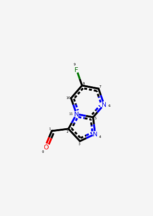 O=Cc1cnc2ncc(F)cn12